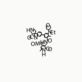 CCN(c1cc(-c2ccc3c(c2)N(C)C(=C=O)C32CCNCC2)cc(C(=O)NCC2=C(OC)C=C(C)NC2=C=O)c1C)C1CCOCC1